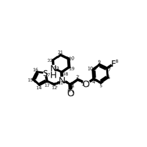 O=C(COc1ccc(F)cc1)N(Cc1cccs1)C1CCCCN1